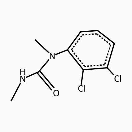 CNC(=O)N(C)c1cccc(Cl)c1Cl